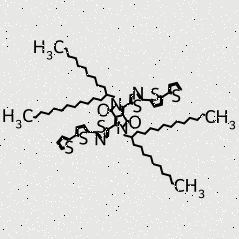 CCCCCCCCCCCCC(CCCCCCCCCC)CN1C(=O)C2=C(c3cnc(-c4ccc(-c5cccs5)s4)s3)N(CC(CCCCCCCCCC)CCCCCCCCCCCC)C(=O)C2=C1c1cnc(-c2ccc(-c3cccs3)s2)s1